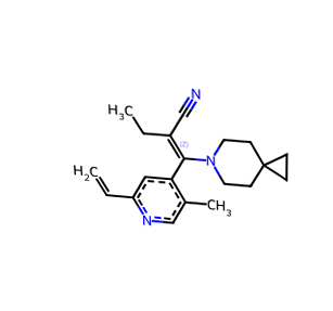 C=Cc1cc(/C(=C(/C#N)CC)N2CCC3(CC2)CC3)c(C)cn1